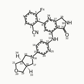 N#Cc1cccc(F)c1-c1cc(Nc2ccc(N3C[C@H]4COC[C@H]4C3)cn2)c2c(n1)CNC2=O